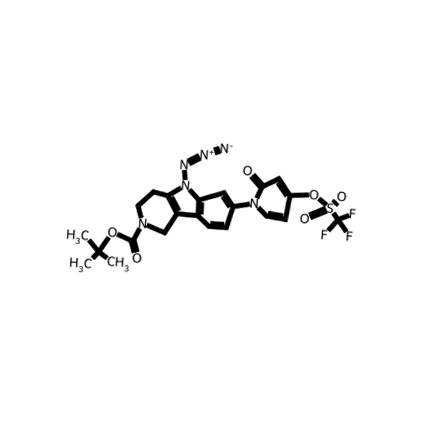 CC(C)(C)OC(=O)N1CCc2c(c3ccc(-n4ccc(OS(=O)(=O)C(F)(F)F)cc4=O)cc3n2N=[N+]=[N-])C1